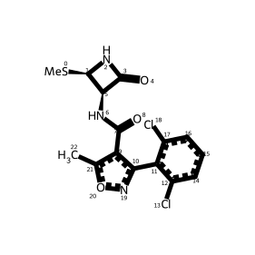 CS[C@H]1NC(=O)[C@H]1NC(=O)c1c(-c2c(Cl)cccc2Cl)noc1C